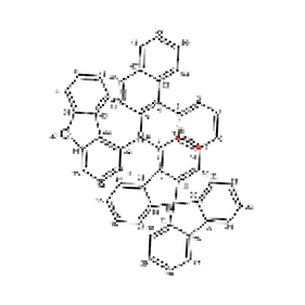 c1ccc(-c2c(N(c3cccc4c3-c3ccccc3C43c4ccccc4-c4ccccc43)c3cccc4oc5ccccc5c34)ccc3ccccc23)cc1